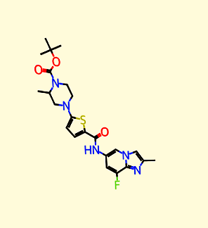 Cc1cn2cc(NC(=O)c3ccc(N4CCN(C(=O)OC(C)(C)C)C(C)C4)s3)cc(F)c2n1